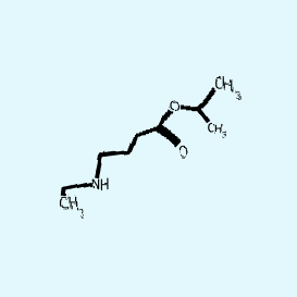 CCNCCCC(=O)OC(C)C